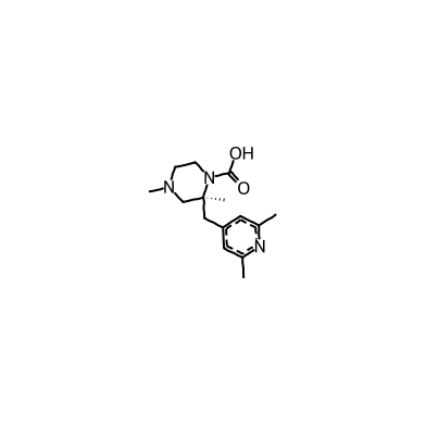 Cc1cc(C[C@@]2(C)CN(C)CCN2C(=O)O)cc(C)n1